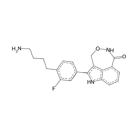 NCCCCc1ccc(-c2[nH]c3cccc4c3c2CONC4=O)cc1F